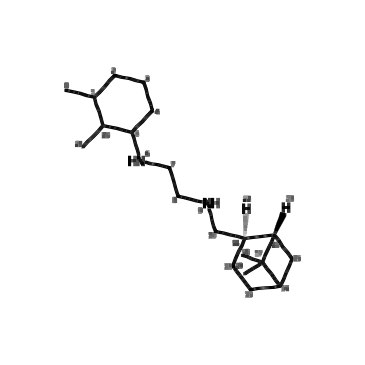 CC1CCCC(NCCNC[C@@H]2CCC3C[C@@H]2C3(C)C)C1C